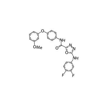 COc1cccc(Oc2ccc(NC(=O)c3nnc(Nc4ccc(F)c(F)c4)o3)cc2)c1